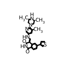 Cc1cc(N/C=C2\C(=O)NC(=O)c3ccc(-c4ccsc4)cc32)cnc1N1C[C@@H](C)N[C@@H](C)C1